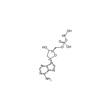 Nc1ncnc2c1ncn2[C@H]1CC(O)[C@@H](COP(=O)(O)OPO)O1